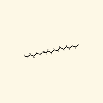 CCCCCCCCCCCCOCCCCCC